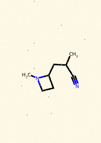 CC(C#N)CC1CCN1C